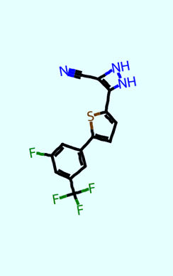 N#Cc1[nH][nH]c1-c1ccc(-c2cc(F)cc(C(F)(F)F)c2)s1